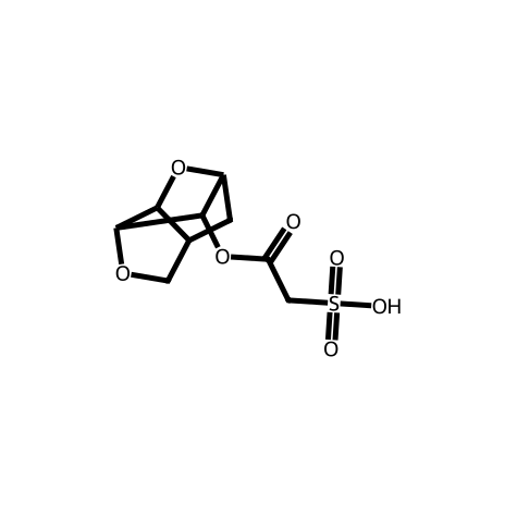 O=C(CS(=O)(=O)O)OC1C2CC3COC1C3O2